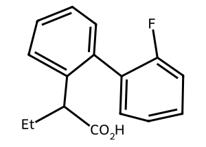 CCC(C(=O)O)c1ccccc1-c1ccccc1F